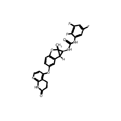 CC12Oc3ccc(Oc4ccnc5c4CCC(=O)N5)cc3[C@H]1[C@@H]2NC(=O)Nc1cc(F)cc(F)c1F